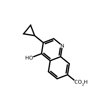 O=C(O)c1ccc2c(O)c(C3CC3)cnc2c1